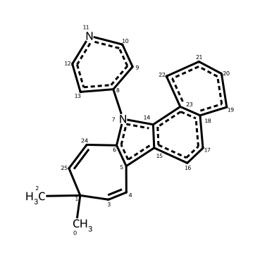 CC1(C)C=Cc2c(n(-c3ccncc3)c3c2ccc2ccccc23)C=C1